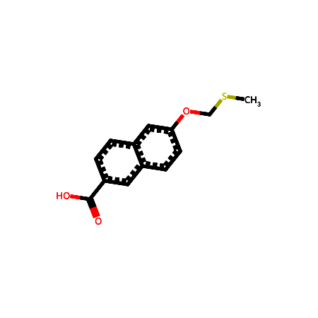 CSCOc1ccc2cc(C(=O)O)ccc2c1